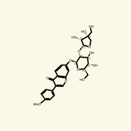 COc1ccc(-c2coc3cc(O[C@@H]4O[C@H](CO)[C@@H](O)[C@H](O)[C@H]4O[C@@H]4OC[C@](O)(CO)[C@H]4O)ccc3c2=O)cc1